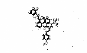 COc1ccc(CCN(CCC(=O)O)C(=O)c2ccccc2-c2ccccc2C(=O)NCc2ccccc2C)cc1